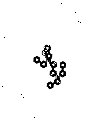 c1ccc(-c2cccc(N(c3cccc(-c4ccccc4)c3)c3cccc(-c4cccc(N(c5cccc(-c6ccccc6)c5)c5ccc6c(c5)oc5ccccc56)c4)c3)c2)cc1